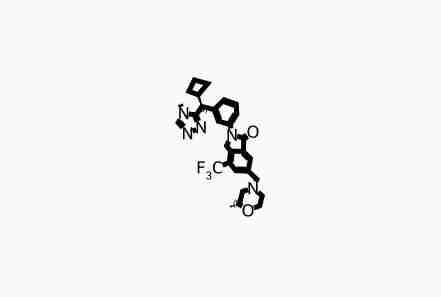 C[C@@H]1CN(Cc2cc3c(c(C(F)(F)F)c2)CN(c2cccc([C@@H](c4nncn4C)C4CCC4)c2)C3=O)CCO1